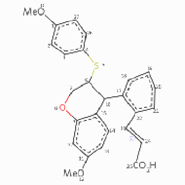 COc1ccc(SC2COc3cc(OC)ccc3C2c2ccccc2/C=C/C(=O)O)cc1